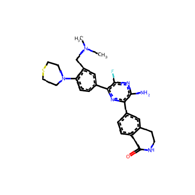 CN(C)Cc1cc(-c2nc(-c3ccc4c(c3)CCNC4=O)c(N)nc2F)ccc1N1CCSCC1